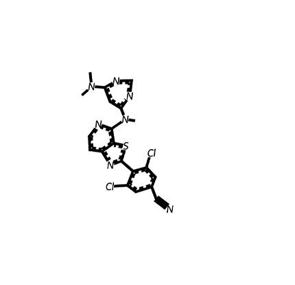 CN(C)c1cc(N(C)c2nccc3nc(-c4c(Cl)cc(C#N)cc4Cl)sc23)ncn1